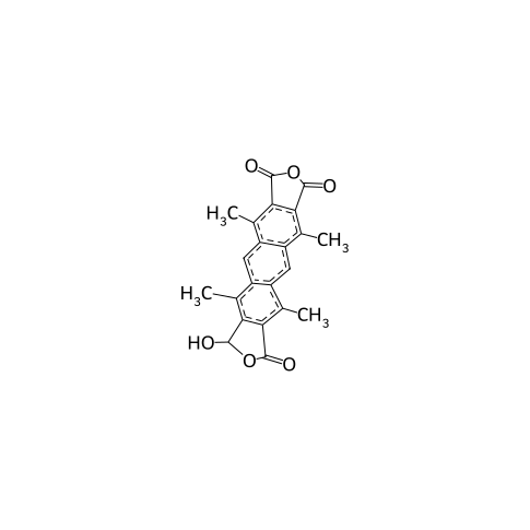 Cc1c2c(c(C)c3cc4c(C)c5c(c(C)c4cc13)C(=O)OC5O)C(=O)OC2=O